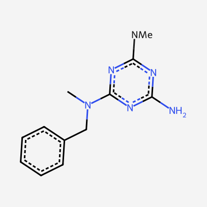 CNc1nc(N)nc(N(C)Cc2ccccc2)n1